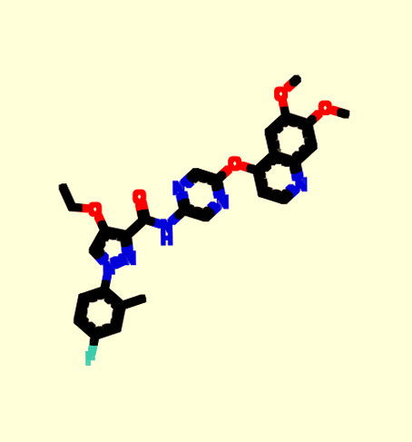 CCOc1cn(-c2ccc(F)cc2C)nc1C(=O)Nc1cnc(Oc2ccnc3cc(OC)c(OC)cc23)cn1